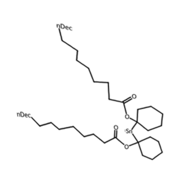 CCCCCCCCCCCCCCCCCC(=O)O[C]1([Sn][C]2(OC(=O)CCCCCCCCCCCCCCCCC)CCCCC2)CCCCC1